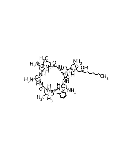 CCCCCCC[C@@H](O)CC(=O)N[C@H](CCN)C(=O)N[C@H]1CCNC(=O)[C@H](CC(C)C)NC(=O)[C@H](CCN)NC(=O)[C@H](CCN)NC(=O)N(CC(C)C)NC(=O)[C@@H](Cc2ccccc2)NC(=O)[C@H](CCN)NC1=O